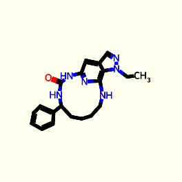 CCn1ncc2cc3nc(c21)NCCCCC(c1ccccc1)NC(=O)N3